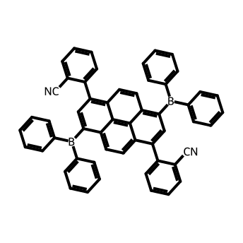 N#Cc1ccccc1-c1cc(B(c2ccccc2)c2ccccc2)c2ccc3c(-c4ccccc4C#N)cc(B(c4ccccc4)c4ccccc4)c4ccc1c2c43